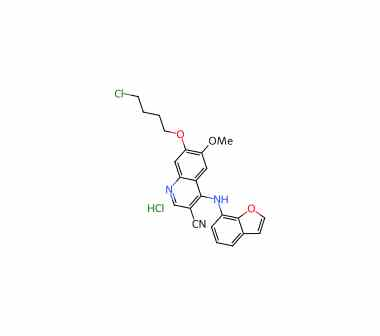 COc1cc2c(Nc3cccc4ccoc34)c(C#N)cnc2cc1OCCCCCl.Cl